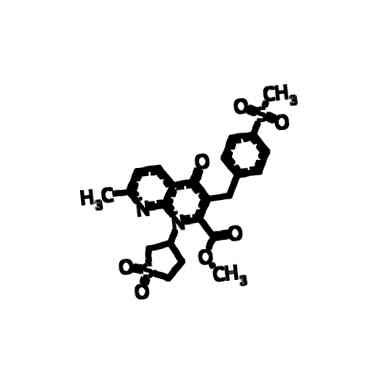 COC(=O)c1c(Cc2ccc(S(C)(=O)=O)cc2)c(=O)c2ccc(C)nc2n1C1CCS(=O)(=O)C1